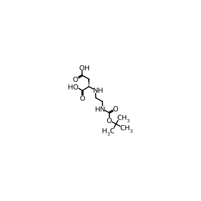 CC(C)(C)OC(=O)NCCN[C@H](CC(=O)O)C(=O)O